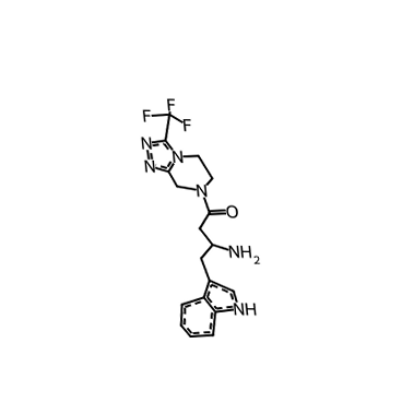 NC(CC(=O)N1CCn2c(nnc2C(F)(F)F)C1)Cc1c[nH]c2ccccc12